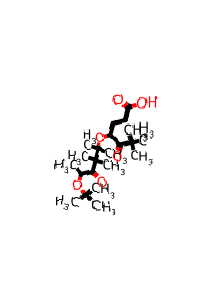 CC(OC(C)(C)C)C(=O)C(C)(C)C(C)(C)OC(CCC(=O)O)C(=O)C(C)(C)C